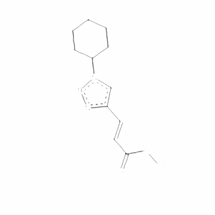 CC(C)OC(=O)C=Cc1cn(C2CCCCC2)nn1